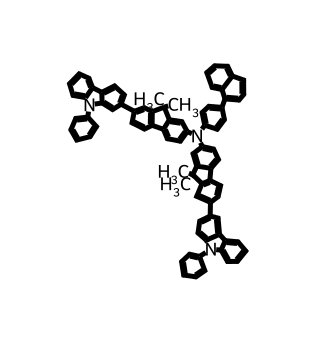 CC1(C)c2cc(-c3ccc4c(c3)c3ccccc3n4-c3ccccc3)ccc2-c2ccc(N(c3ccc(-c4cccc5ccccc45)cc3)c3ccc4c(c3)C(C)(C)c3cc(-c5ccc6c7ccccc7n(-c7ccccc7)c6c5)ccc3-4)cc21